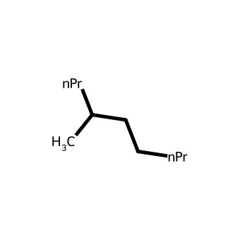 [CH2]CCCCC(C)CC[CH2]